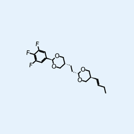 CCC=C[C@H]1CO[C@H](CC[C@H]2CO[C@H](c3cc(F)c(F)c(F)c3)OC2)OC1